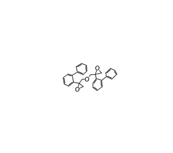 c1ccc(-c2ccccc2C2(COCC3(c4ccccc4-c4ccccc4)CO3)CO2)cc1